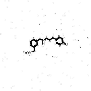 CCOC(=O)Cc1cccc(CNCCCc2ccc(Cl)cc2)c1